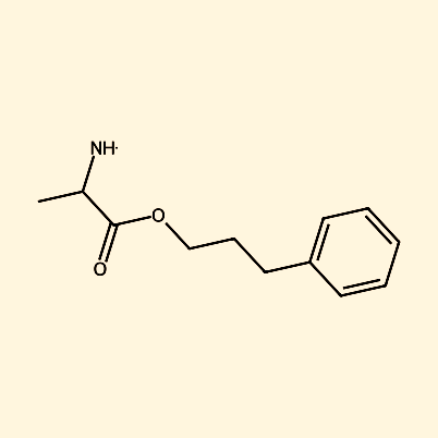 CC([NH])C(=O)OCCCc1ccccc1